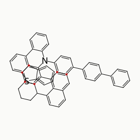 c1ccc(-c2ccc(-c3ccc(N(c4ccccc4-c4cccc5cccc(C6CCCCC6)c45)c4ccccc4-c4cccc5sc6ccccc6c45)cc3)cc2)cc1